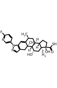 C[C@H]1C[C@@H]2[C@H]([C@@H](O)C[C@@]3(C)[C@H]2CC[C@]3(O)C(=O)S)[C@@]2(C)Cc3cnn(-c4ccc(F)nc4)c3C=C12